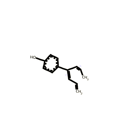 C=C/C=C(\C=C/C)c1ccc(O)cc1